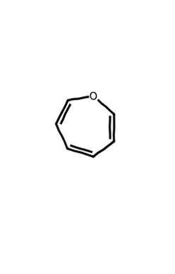 C1=CC=COC=C1